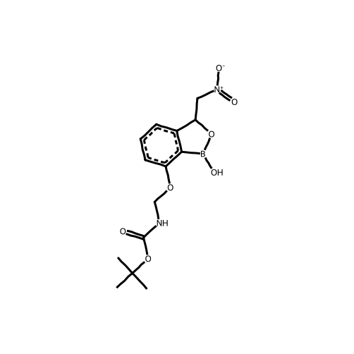 CC(C)(C)OC(=O)NCOc1cccc2c1B(O)OC2C[N+](=O)[O-]